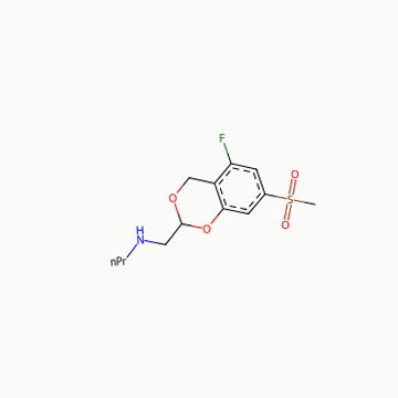 CCCNCC1OCc2c(F)cc(S(C)(=O)=O)cc2O1